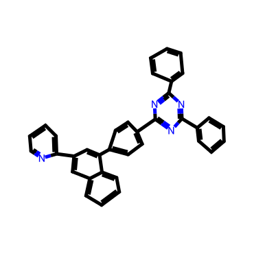 c1ccc(-c2nc(-c3ccccc3)nc(-c3ccc(-c4cc(-c5ccccn5)cc5ccccc45)cc3)n2)cc1